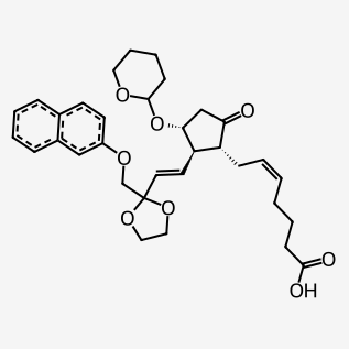 O=C(O)CCC/C=C\C[C@H]1C(=O)C[C@@H](OC2CCCCO2)[C@@H]1/C=C/C1(COc2ccc3ccccc3c2)OCCO1